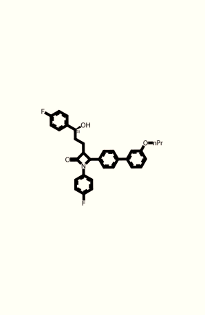 CCCOc1cccc(-c2ccc(C3C(CC[C@H](O)c4ccc(F)cc4)C(=O)N3c3ccc(F)cc3)cc2)c1